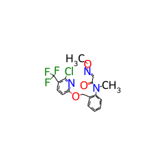 CON=CC(=O)N(C)c1ccccc1COc1ccc(C(F)(F)F)c(Cl)n1